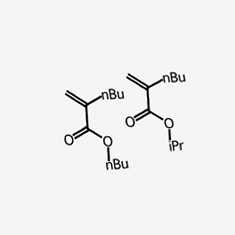 C=C(CCCC)C(=O)OC(C)C.C=C(CCCC)C(=O)OCCCC